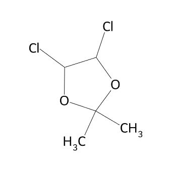 CC1(C)OC(Cl)C(Cl)O1